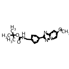 COc1ccn2nc(-c3ccc(CNC(=O)OC(C)(C)C)cc3)nc2c1